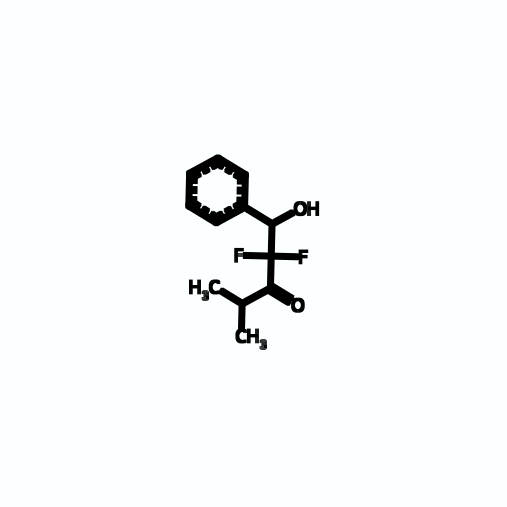 CC(C)C(=O)C(F)(F)C(O)c1ccccc1